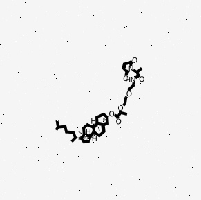 CC(C)CCCC(C)[C@H]1CC[C@H]2[C@@H]3CC=C4C[C@@H](OC(=O)C(C)OCCOCCNC(=O)C(C)N5C(=O)C=CC5=O)CC[C@]4(C)[C@H]3CC[C@]12C